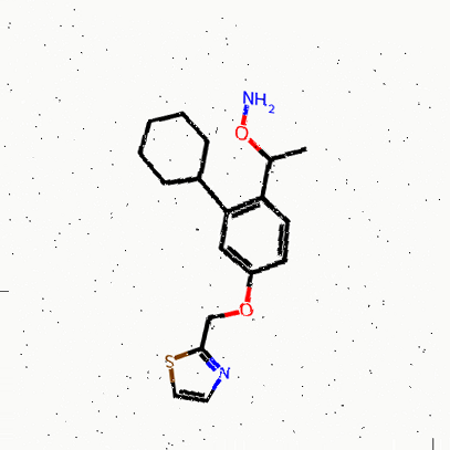 CC(ON)c1ccc(OCc2nccs2)cc1C1CCCCC1